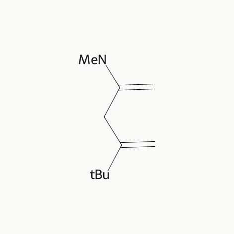 C=C(CC(=C)C(C)(C)C)NC